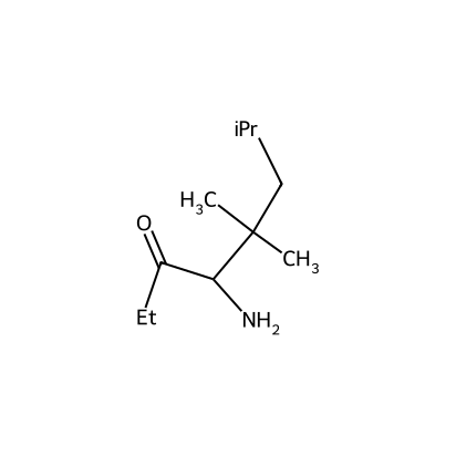 CCC(=O)C(N)C(C)(C)CC(C)C